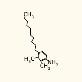 CCCCCCCCCCc1ccc(N)c(C)c1C